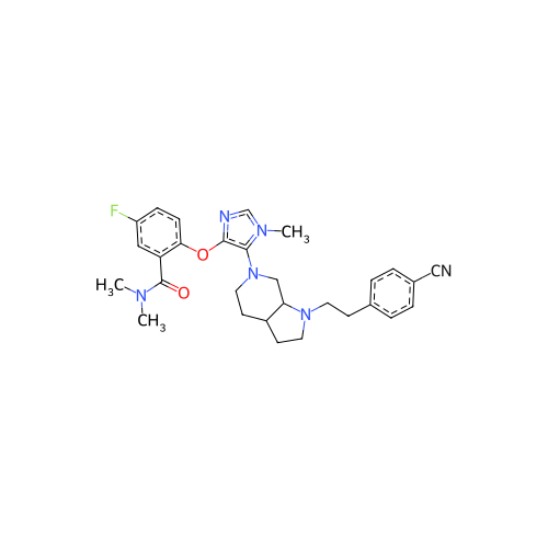 CN(C)C(=O)c1cc(F)ccc1Oc1ncn(C)c1N1CCC2CCN(CCc3ccc(C#N)cc3)C2C1